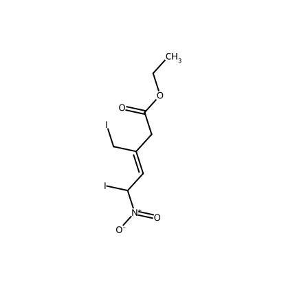 CCOC(=O)C/C(=C/C(I)[N+](=O)[O-])CI